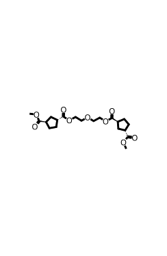 COC(=O)[C@@H]1CC[C@@H](C(=O)OCCOCCOC(=O)[C@H]2CC[C@H](C(=O)OC)C2)C1